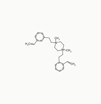 C=Cc1cccc(CC[N+]2(C)CC[N+](C)(CCc3ccccc3C=C)CC2)c1